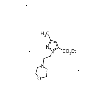 CCOC(=O)c1cc(C)nn1CCN1CCOCC1